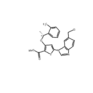 COC(=O)c1sc(-n2cnc3ccc(CCl)cc32)cc1O[C@H](C)c1ccccc1C(F)(F)F